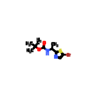 CC(NC(=O)OC(C)(C)C)c1ncc(Br)s1